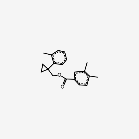 Cc1ccc(C(=O)OCC2(c3ccccc3C)CC2)cc1C